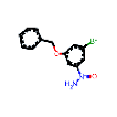 N[N+](=O)c1[c]c(OCc2ccccc2)cc(Br)c1